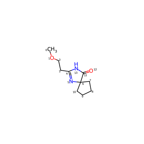 COCCC1=NC2(CCCC2)C(=O)N1